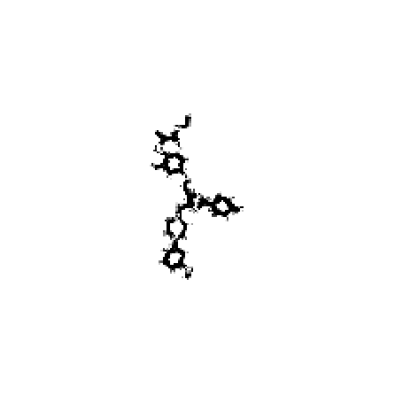 CCOC(=O)C(C)Oc1ccc(SCc2sc(-c3ccc(F)cc3)nc2CN2CCN(c3cccc(OC)c3)CC2)cc1C